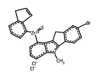 Cn1c2c(c3[c]([Zr+2](=[S])[c]4cccc5c4C=CC5)cccc31)Cc1cc(Br)ccc1-2.[Cl-].[Cl-]